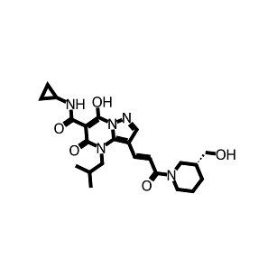 CC(C)Cn1c(=O)c(C(=O)NC2CC2)c(O)n2ncc(/C=C/C(=O)N3CCC[C@@H](CO)C3)c12